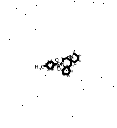 Cc1ccc(S(=O)(=O)N2CCC3(CCCCN3)Cc3ccccc32)cc1